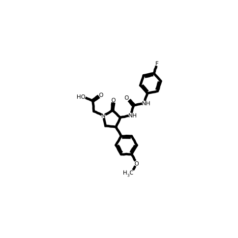 COc1ccc(C2CN(CC(=O)O)C(=O)C2NC(=O)Nc2ccc(F)cc2)cc1